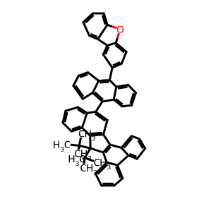 CC(C)(C)C1(C(C)(C)C)c2c(cc(-c3c4ccccc4c(-c4ccc5oc6ccccc6c5c4)c4ccccc34)c3ccccc23)-c2c1c1ccccc1c1ccccc21